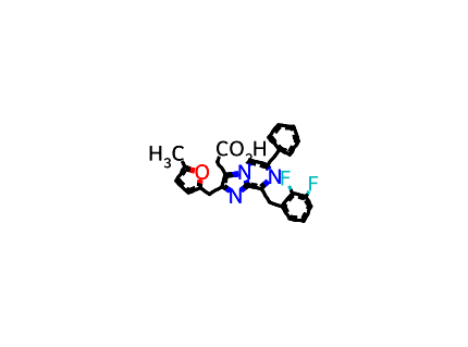 Cc1ccc(Cc2nc3c(Cc4cccc(F)c4F)nc(-c4ccccc4)cn3c2CC(=O)O)o1